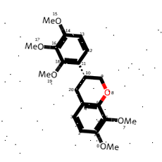 COc1ccc2c(c1OC)OC[C@@H](c1ccc(OC)c(OC)c1OC)C2